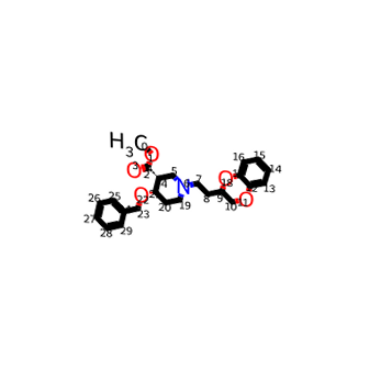 COC(=O)[C@@H]1CN(CCC2COc3ccccc3O2)CC[C@@H]1OCc1ccccc1